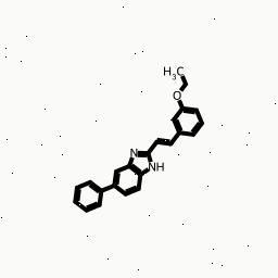 CCOc1cccc(/C=C/c2nc3cc(-c4ccccc4)ccc3[nH]2)c1